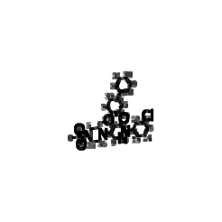 CS(=O)(=O)N1CCN(c2cnn(-c3cccc(Cl)c3)c(=O)c2OC2CCC(c3ccccc3)CC2)CC1